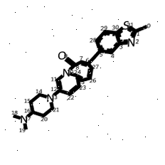 Cc1nc2cc(C3=C\C(=O)N4C=C(N5CCC(N(C)C)CC5)C=C\C4=C/C=C/3)ccc2s1